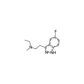 CCN(C)CCc1n[nH]c2ccc(F)cc12